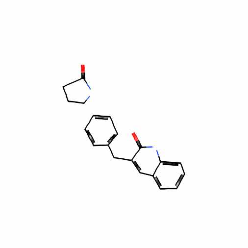 O=C1CC[C@@H](c2ccc(Cc3cc4ccccc4[nH]c3=O)cc2)N1